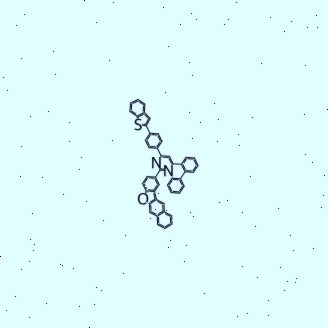 c1ccc(-c2ccccc2-c2cc(-c3ccc(-c4cc5ccccc5s4)cc3)nc(-c3ccc4oc5cc6ccccc6cc5c4c3)n2)cc1